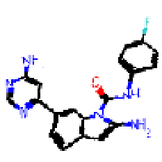 Nc1cc(-c2ccc3cc(N)n(C(=O)Nc4ccc(F)cc4)c3c2)ncn1